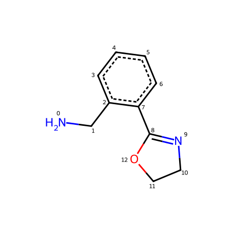 NCc1ccccc1C1=NCCO1